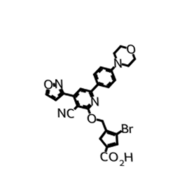 N#Cc1c(-c2ccon2)cc(-c2ccc(N3CCOCC3)cc2)nc1OCC1=C(Br)C=C(C(=O)O)C1